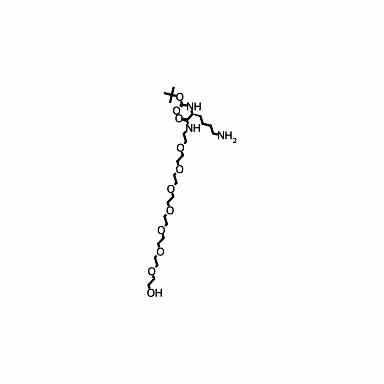 CC(C)(C)OC(=O)N[C@@H](CCCCN)C(=O)NCCOCCOCCOCCOCCOCCOCCOCCO